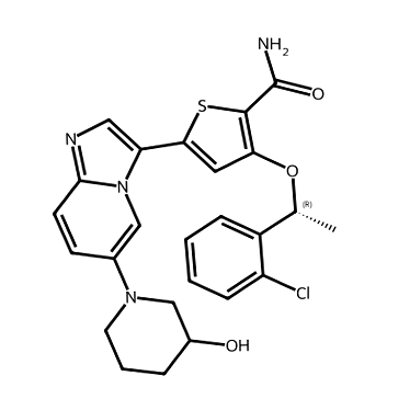 C[C@@H](Oc1cc(-c2cnc3ccc(N4CCCC(O)C4)cn23)sc1C(N)=O)c1ccccc1Cl